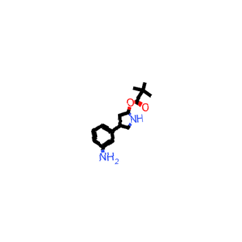 CC(C)(C)C(=O)OC1CC(c2cccc(N)c2)CN1